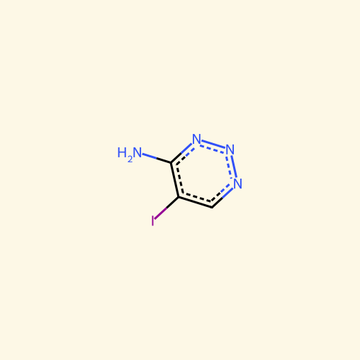 Nc1nnncc1I